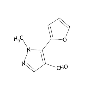 Cn1ncc(C=O)c1-c1ccco1